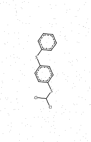 ClC(Cl)Sc1ccc(Sc2ccccc2)cc1